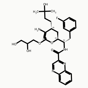 CC(C)(O)CC[C@H](C[C@H](OC(=O)OCC(O)CO)[C@H](Cc1cccc(F)c1)NC(=O)c1cnc2ccccc2n1)C(N)=O